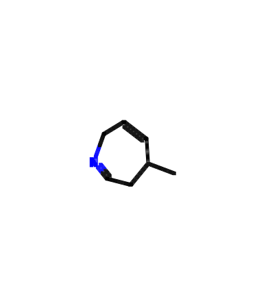 CC1C=CCN=CC1